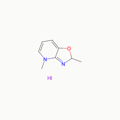 CC1N=C2C(=CC=CN2C)O1.I